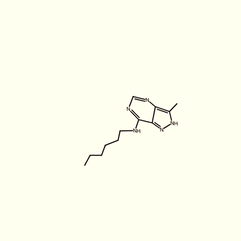 CCCCCCNc1ncnc2c(C)[nH]nc12